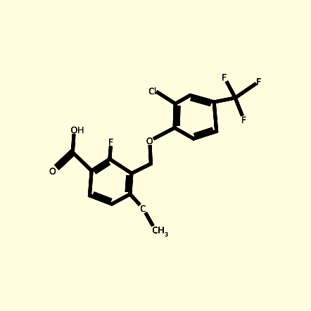 CCc1ccc(C(=O)O)c(F)c1COc1ccc(C(F)(F)F)cc1Cl